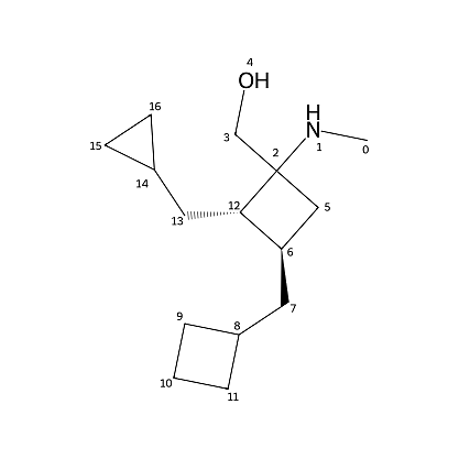 CNC1(CO)C[C@@H](CC2CCC2)[C@@H]1CC1CC1